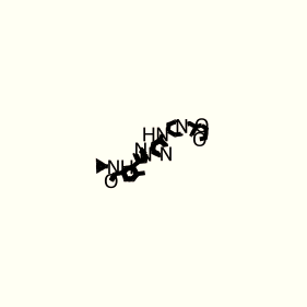 Cc1ccc(C(=O)NC2CC2)cc1-c1cnn(-c2cncc(NC3CCN(CC4COCCO4)CC3)c2)c1